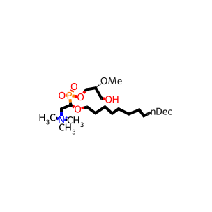 CCCCCCCCCCCCCCCCCCOC(C[N+](C)(C)C)P(=O)([O-])OC[C@@H](CO)OC